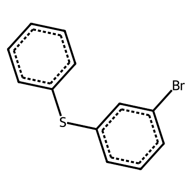 Brc1cccc(Sc2ccccc2)c1